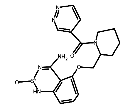 NC1=N[S+]([O-])Nc2cccc(OCC3CCCCN3C(=O)c3ccnnc3)c21